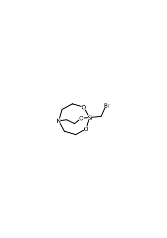 BrC[Si]12OCCN(CCO1)CCO2